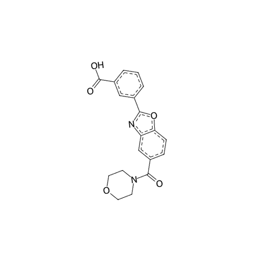 O=C(O)c1cccc(-c2nc3cc(C(=O)N4CCOCC4)ccc3o2)c1